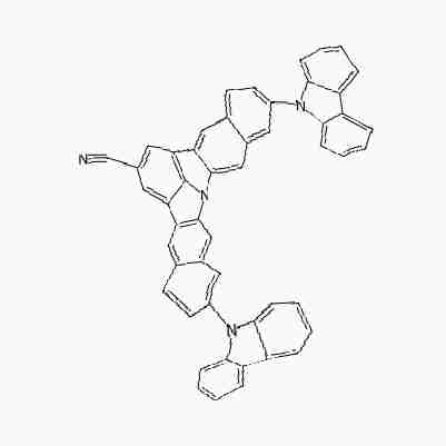 N#Cc1cc2c3cc4ccc(-n5c6ccccc6c6ccccc65)cc4cc3n3c4cc5cc(-n6c7ccccc7c7ccccc76)ccc5cc4c(c1)c23